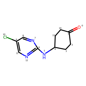 O=C1CCC(Nc2ncc(Cl)cn2)CC1